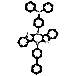 c1ccc(-c2ccc(B3c4oc5ccccc5c4B(c4ccc(N(c5ccccc5)c5ccccc5)cc4)c4oc5ccccc5c43)cc2)cc1